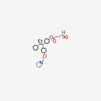 CC/C(=C(/c1ccc(OCCN2CCCCC2)cc1)c1ccc(OC(=O)CCC[SH](C)(C)=O)cc1)c1ccccc1